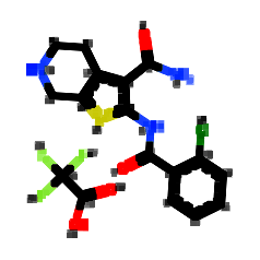 NC(=O)c1c(NC(=O)c2ccccc2Cl)sc2c1CCNC2.O=C(O)C(F)(F)F